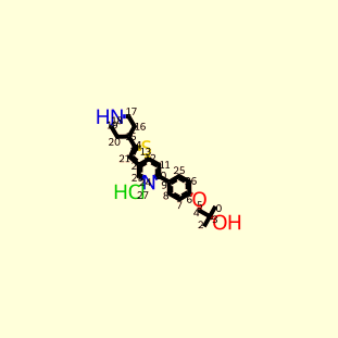 CC(C)(O)COc1ccc(-c2cc3sc(C4CCNCC4)cc3cn2)cc1.Cl